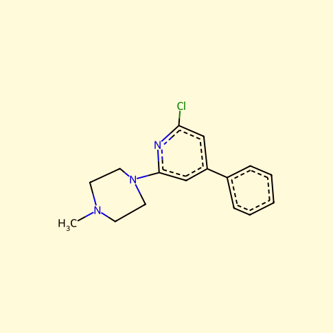 CN1CCN(c2cc(-c3ccccc3)cc(Cl)n2)CC1